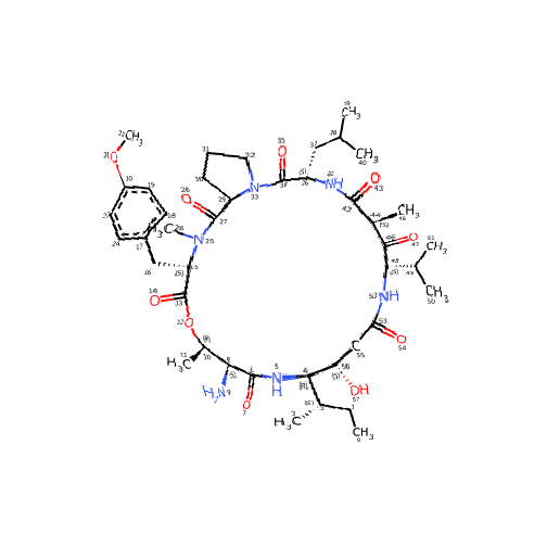 CC[C@H](C)[C@H]1NC(=O)[C@@H](N)[C@@H](C)OC(=O)[C@H](Cc2ccc(OC)cc2)N(C)C(=O)C2CCCN2C(=O)[C@H](CC(C)C)NC(=O)[C@@H](C)C(=O)[C@H](C(C)C)NC(=O)C[C@@H]1O